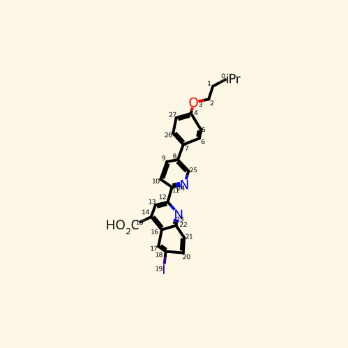 CC(C)CCOc1ccc(-c2ccc(-c3cc(C(=O)O)c4cc(I)ccc4n3)nc2)cc1